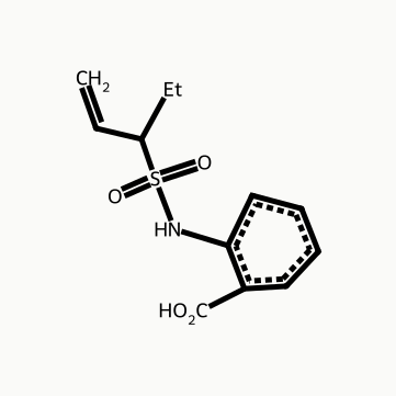 C=CC(CC)S(=O)(=O)Nc1ccccc1C(=O)O